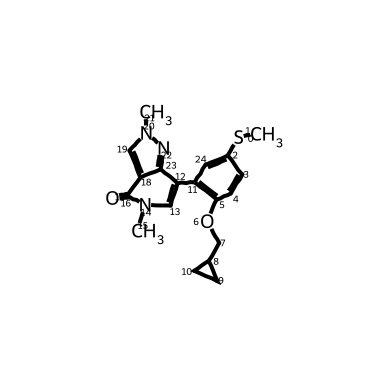 CSc1ccc(OCC2CC2)c(-c2cn(C)c(=O)c3cn(C)nc23)c1